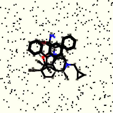 COc1ccc2c3c1O[C@H]1[C@@]4(OC)CC[C@@]5(C[C@@H]4C(N[C@H](C(N)=O)c4ccccc4)c4ccccc4)[C@@H](C2)N(CC2CC2)CC[C@]315